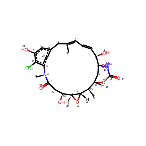 C/C1=C\C=C\[C@@H](O)[C@@]2(O)C[C@H](OC(=O)N2)[C@@H](C)[C@@H]2O[C@H]2[C@@H](O)CC(=O)N(C)c2cc(cc(O)c2Cl)C1